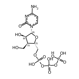 Nc1ccn([C@@H]2O[C@H](COP(=O)(O)OP(=O)(O)OP(=O)(O)O)[C@@H](CO)[C@H]2O)c(=O)n1